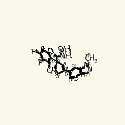 Cc1c([C@@]2(C(=O)NO)C=C(c3ccc4cnn(C)c4c3)CC2)ccc(F)c1F